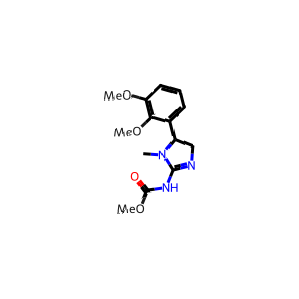 COC(=O)NC1=NCC(c2cccc(OC)c2OC)N1C